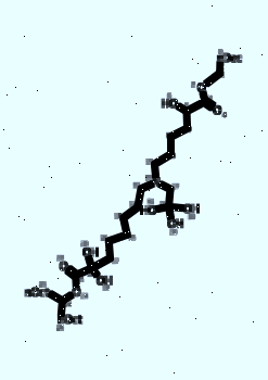 CCCCCCCCCCCOC(=O)C(O)CCCCN(CCCCCCC(O)(O)C(=O)OC(CCCCCCCC)CCCCCCCC)CC(O)(O)O